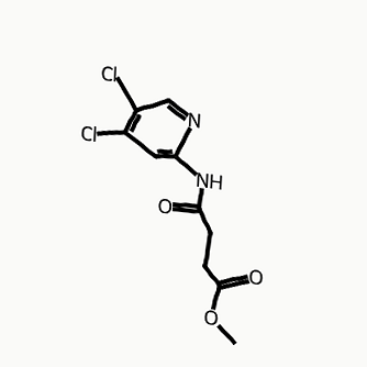 COC(=O)CCC(=O)Nc1cc(Cl)c(Cl)cn1